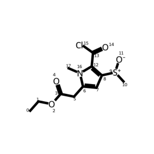 CCOC(=O)Cc1cc([S+](C)[O-])c(C(=O)Cl)n1C